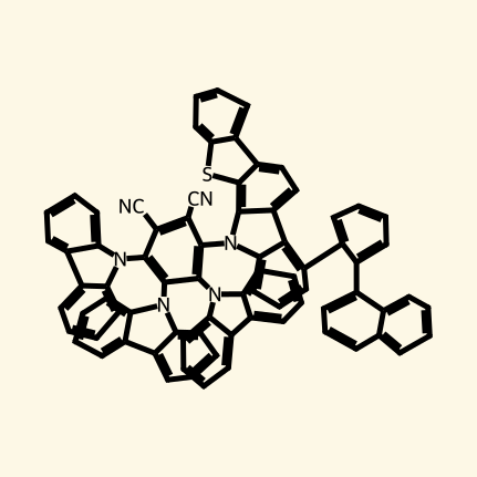 N#Cc1c(C#N)c(-n2c3cccc(-c4ccccc4-c4cccc5ccccc45)c3c3ccc4c5ccccc5sc4c32)c(-n2c3ccccc3c3ccccc32)c(-n2c3ccccc3c3ccccc32)c1-n1c2ccccc2c2ccccc21